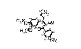 C=CCC(=C(C#N)C(=O)c1ccc(O)cc1)c1ccc(OC)c(OC)c1